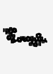 CC(C)OC(=O)NC(C(=O)N1CCC[C@H]1C(=O)Nc1ccc2[nH]c(-c3ccc(-c4cnc([C@@H]5CCCN5C(=O)C(NC(=O)O)c5ccccc5)s4)cc3)cc2c1)c1ccccc1